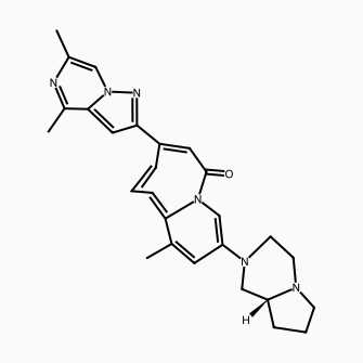 CC1=CC(N2CCN3CCC[C@@H]3C2)=CN2C(=O)\C=C(c3cc4c(C)nc(C)cn4n3)/C=C/C=C\12